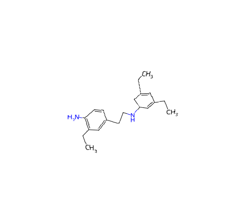 CCC1=CC(NCCc2ccc(N)c(CC)c2)CC(CC)=C1